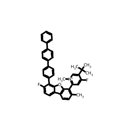 Cc1ccc2c(oc3c(-c4ccc(-c5ccc(-c6ccccc6)cc5)cc4)c(F)ccc32)c1-c1cc(F)c(C(C)(C)C)c[n+]1C